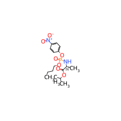 CCCCOP(=O)(N[C@@H](C)C(=O)OC(C)C)Oc1ccc([N+](=O)[O-])cc1